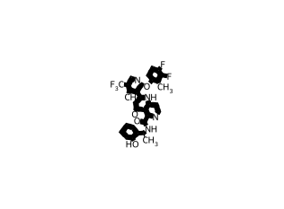 Cc1c(Oc2ncc(C(F)(F)F)c(C)c2-c2cc(=O)c3c(C(=O)N[C@H](C)c4ccccc4O)nccc3[nH]2)ccc(F)c1F